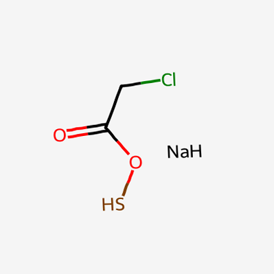 O=C(CCl)OS.[NaH]